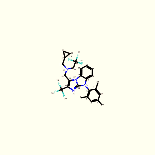 Cc1cc(C)c(-n2c3ccccc3n3c(CN(CC4CC4)CC(F)(F)F)c(C(F)(F)F)nc23)c(C)c1